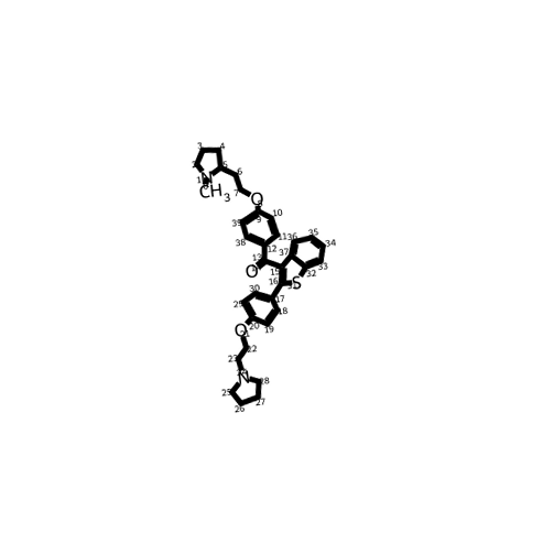 CN1CCCC1CCOc1ccc(C(=O)c2c(-c3ccc(OCCN4CCCC4)cc3)sc3ccccc23)cc1